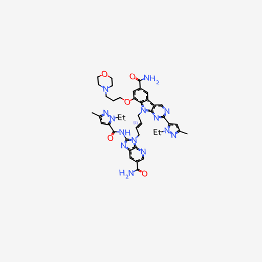 CCn1nc(C)cc1C(=O)Nc1nc2cc(C(N)=O)cnc2n1C/C=C/Cn1c2nc(-c3cc(C)nn3CC)ncc2c2cc(C(N)=O)cc(OCCCN3CCOCC3)c21